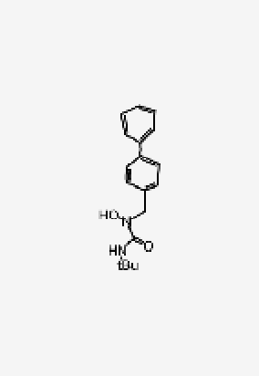 CC(C)(C)NC(=O)N(O)Cc1ccc(-c2ccccc2)cc1